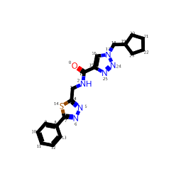 O=C(NCc1nnc(-c2ccccc2)s1)c1cn(CC2CCCC2)nn1